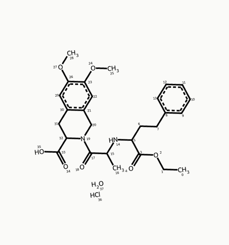 CCOC(=O)C(CCc1ccccc1)NC(C)C(=O)N1Cc2cc(OC)c(OC)cc2CC1C(=O)O.Cl.O